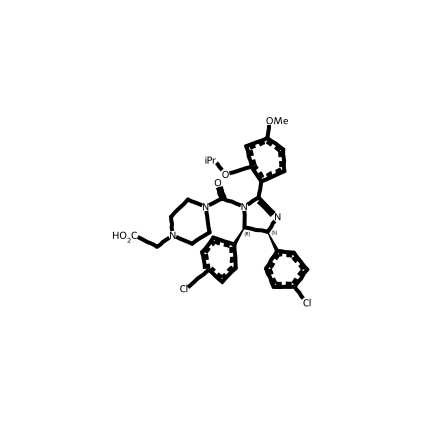 COc1ccc(C2=N[C@@H](c3ccc(Cl)cc3)[C@@H](c3ccc(Cl)cc3)N2C(=O)N2CCN(CC(=O)O)CC2)c(OC(C)C)c1